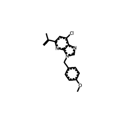 C=C(C)c1cc(Cl)c2ncn(Cc3ccc(OC)cc3)c2n1